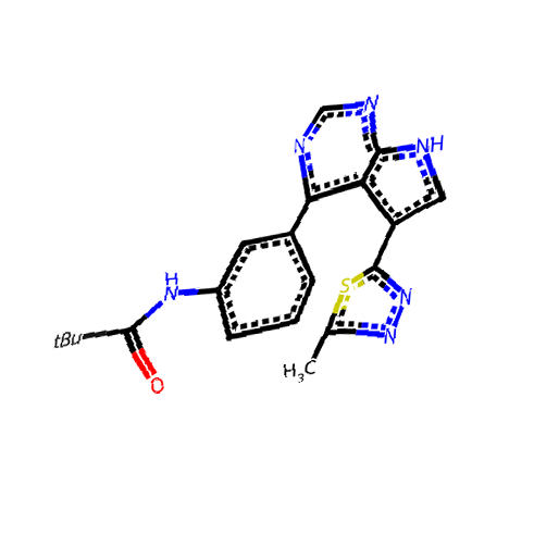 Cc1nnc(-c2c[nH]c3ncnc(-c4cccc(NC(=O)C(C)(C)C)c4)c23)s1